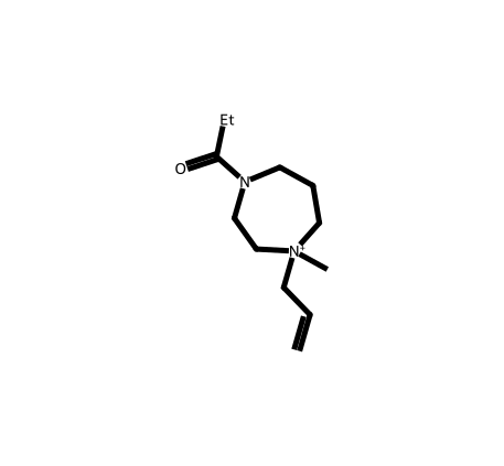 C=CC[N+]1(C)CCCN(C(=O)CC)CC1